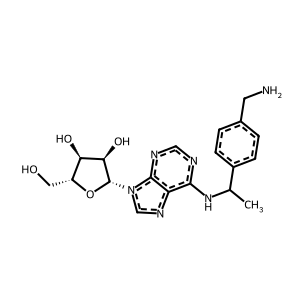 CC(Nc1ncnc2c1ncn2[C@@H]1O[C@H](CO)[C@@H](O)[C@H]1O)c1ccc(CN)cc1